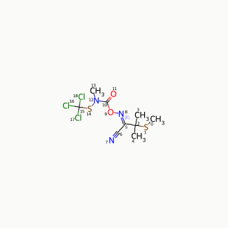 CSC(C)(C)/C(C#N)=N/OC(=O)N(C)SC(Cl)(Cl)Cl